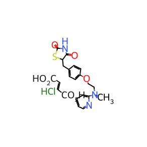 CN(CCOc1ccc(CC2SC(=O)NC2=O)cc1)c1ccccn1.Cl.O=C(O)C=CC(=O)O